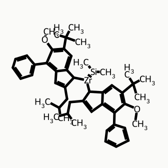 COc1c(C(C)(C)C)cc2c(c1-c1ccccc1)C=C(CC(C)C)[CH]2[Zr]([CH]1C(CC(C)C)=Cc2c1cc(C(C)(C)C)c(OC)c2-c1ccccc1)=[Si](C)C